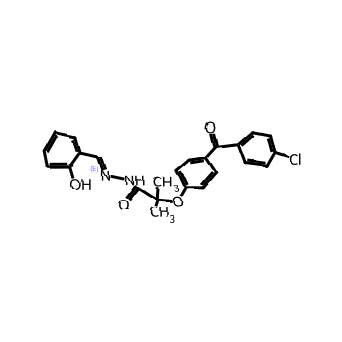 CC(C)(Oc1ccc(C(=O)c2ccc(Cl)cc2)cc1)C(=O)N/N=C/c1ccccc1O